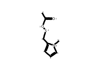 CC(=O)OSCc1cccn1C